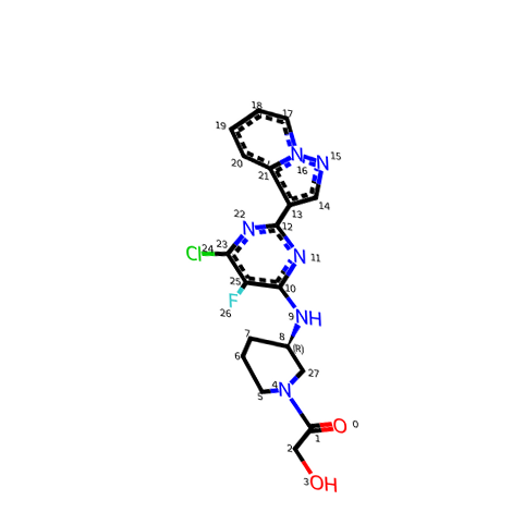 O=C(CO)N1CCC[C@@H](Nc2nc(-c3cnn4ccccc34)nc(Cl)c2F)C1